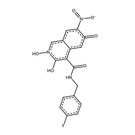 O=C(NCc1ccc(F)cc1)c1c2cc(=O)c([N+](=O)[O-])cc-2cn(O)c1O